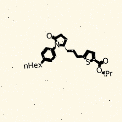 CCCCCCc1ccc(N2C(=O)CC[C@@H]2CCCc2ccc(C(=O)OC(C)C)s2)cc1